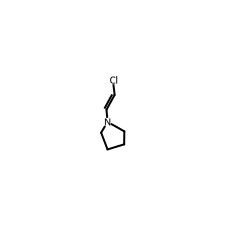 ClC=CN1CCCC1